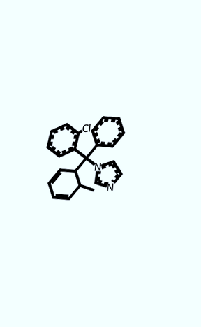 CC1C=CC=CC1C(c1ccccc1)(c1ccccc1Cl)n1ccnc1